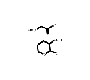 CCC1OCCCC1C(=O)O.CCCC(=O)CC(=O)OCC